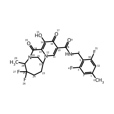 Cc1cc(F)c(CNC(=O)c2cn3c(c(O)c2=O)C(=O)N2CC3CCC(F)(F)C2C)c(F)c1